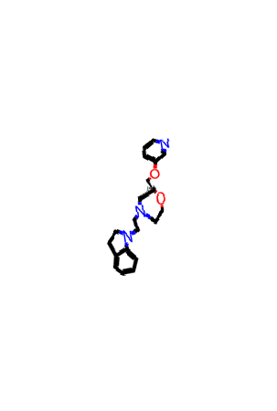 c1cncc(OC[C@@H]2CN(CCN3CCc4ccccc43)CCO2)c1